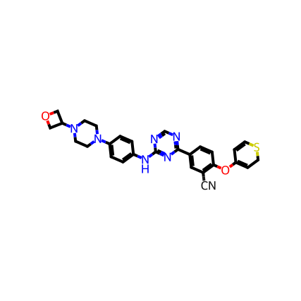 N#Cc1cc(-c2ncnc(Nc3ccc(N4CCN(C5COC5)CC4)cc3)n2)ccc1OC1=CCSC=C1